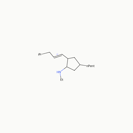 CCCCCC1CC(/C=C/CC(C)C)C(NCC)C1